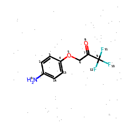 Nc1ccc(OCC(=O)C(F)(F)F)cc1